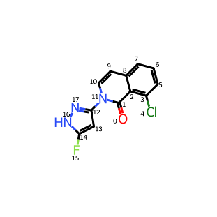 O=c1c2c(Cl)cccc2ccn1-c1cc(F)[nH]n1